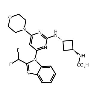 O=C(O)N[C@H]1C[C@H](Nc2nc(N3CCOCC3)cc(-n3c(C(F)F)nc4ccccc43)n2)C1